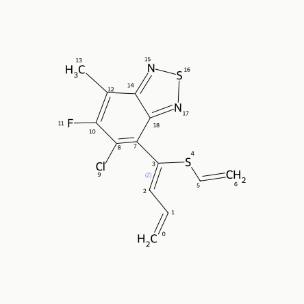 C=C/C=C(\SC=C)c1c(Cl)c(F)c(C)c2nsnc12